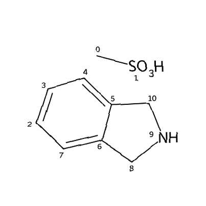 CS(=O)(=O)O.c1ccc2c(c1)CNC2